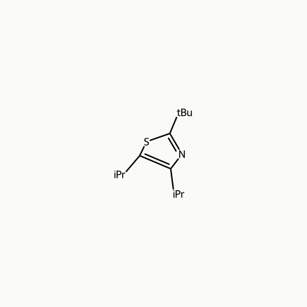 CC(C)c1nc(C(C)(C)C)sc1C(C)C